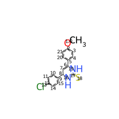 COc1ccc(C2=CC(c3ccc(Cl)cc3)NC(=S)N2)cc1